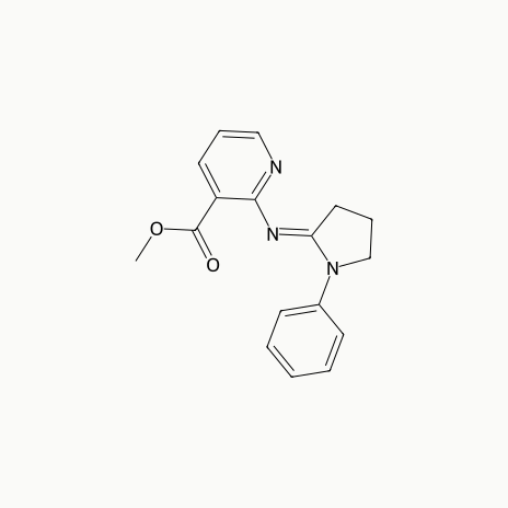 COC(=O)c1cccnc1N=C1CCCN1c1ccccc1